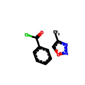 FC(F)(F)c1conn1.O=C(Cl)c1ccccc1